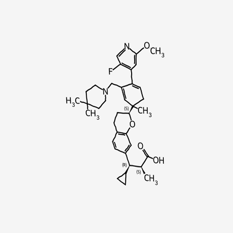 COc1cc(C2=CCC(C)([C@@H]3CCc4ccc([C@H](C5CC5)[C@H](C)C(=O)O)cc4O3)C=C2CN2CCC(C)(C)CC2)c(F)cn1